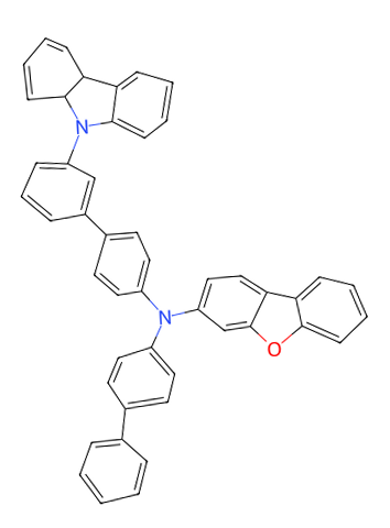 C1=CC2c3ccccc3N(c3cccc(-c4ccc(N(c5ccc(-c6ccccc6)cc5)c5ccc6c(c5)oc5ccccc56)cc4)c3)C2C=C1